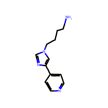 NCCCCn1cnc(-c2ccncc2)c1